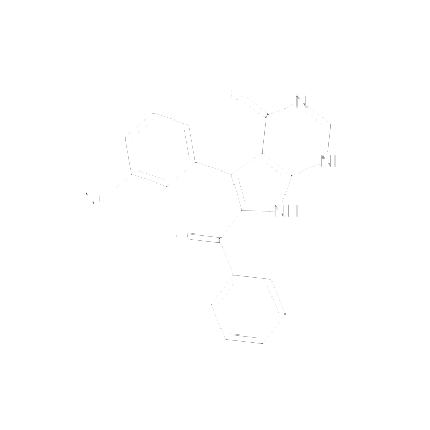 N#Cc1cccc(-c2c(C(=O)c3ccccc3)[nH]c3[nH]cnc(=O)c23)c1